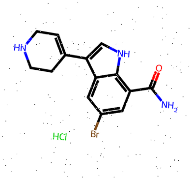 Cl.NC(=O)c1cc(Br)cc2c(C3=CCNCC3)c[nH]c12